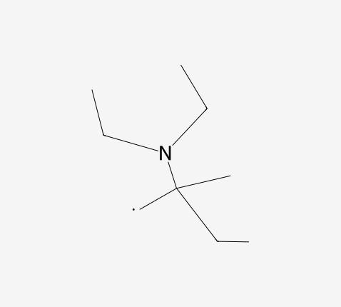 [CH2]C(C)(CC)N(CC)CC